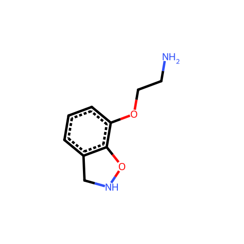 NCCOc1cccc2c1ONC2